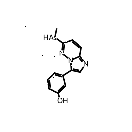 C[AsH]c1ccc2ncc(-c3cccc(O)c3)n2n1